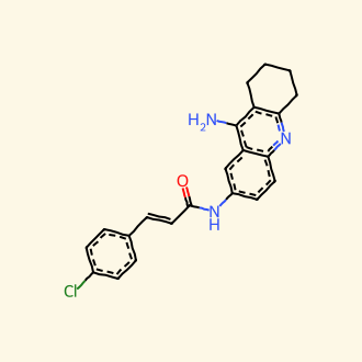 Nc1c2c(nc3ccc(NC(=O)/C=C/c4ccc(Cl)cc4)cc13)CCCC2